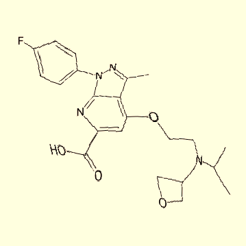 Cc1nn(-c2ccc(F)cc2)c2nc(C(=O)O)cc(OCCN(C(C)C)C3COC3)c12